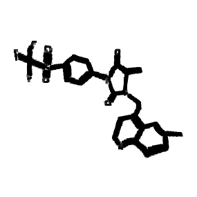 Cc1ccc2nccc(CN3C(=O)N(c4ccc(S(=O)(=O)C(F)(F)F)cc4)C(=O)C3C)c2c1